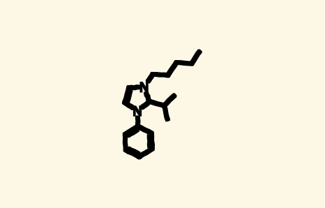 CCCCCN1C=CN(c2ccccc2)C1C(C)C